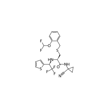 N#CC1(NC(=O)[C@H](CSCc2ccccc2OC(F)F)N[C@H](c2cccs2)C(F)(F)F)CC1